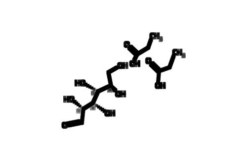 CCC(=O)O.CCC(=O)O.O=C[C@H](O)[C@@H](O)[C@H](O)[C@H](O)CO